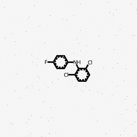 Fc1ccc(Nc2c(Cl)cccc2Cl)cc1